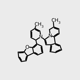 CC1=CN(C2=Cc3ccccc3C3=CC=C(C)CN32)C(c2cccc3c2oc2ccccc23)C=C1